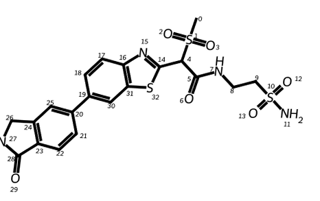 CS(=O)(=O)C(C(=O)NCCS(N)(=O)=O)c1nc2ccc(-c3ccc4c(c3)CNC4=O)cc2s1